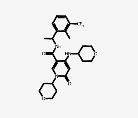 Cc1c(C(C)NC(=O)c2cn(C3CCOCC3)c(=O)cc2NC2CCOCC2)cccc1C(F)(F)F